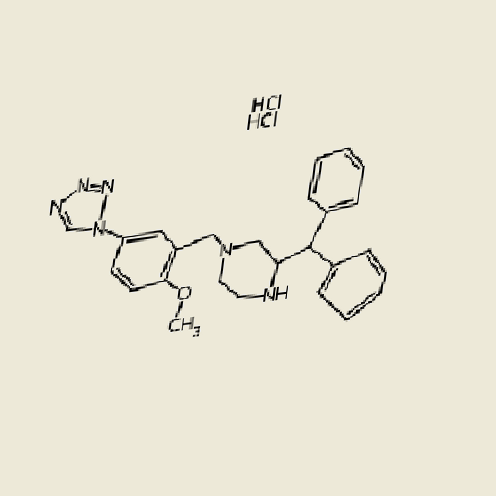 COc1ccc(-n2cnnn2)cc1CN1CCNC(C(c2ccccc2)c2ccccc2)C1.Cl.Cl